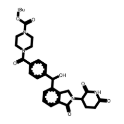 CC(C)(C)OC(=O)N1CCN(C(=O)c2ccc(C(O)c3cccc4c3CN(C3CCC(=O)NC3=O)C4=O)cc2)CC1